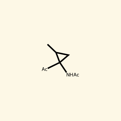 CC(=O)NC1(C(C)=O)CC1C